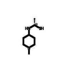 C[C@H](S)NC1CCN(C)CC1